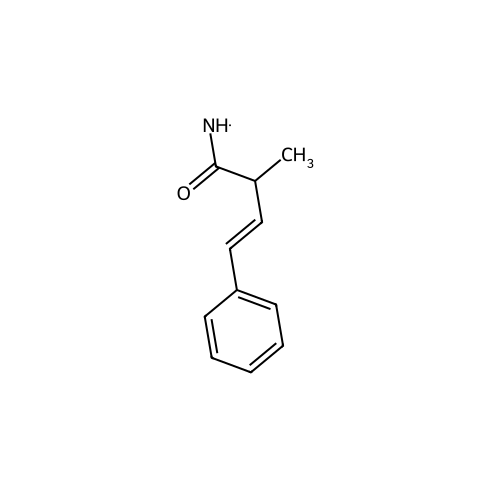 CC(C=Cc1ccccc1)C([NH])=O